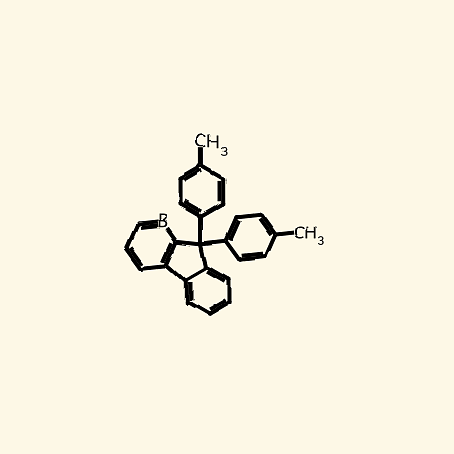 Cc1ccc(C2(c3ccc(C)cc3)c3bcccc3-c3ccccc32)cc1